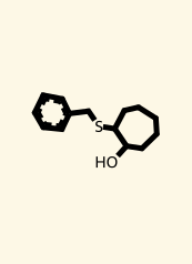 OC1CCCCCC1SCc1ccccc1